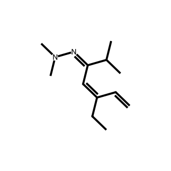 C=C/C(=C\C(=N/N(C)C)C(C)C)CC